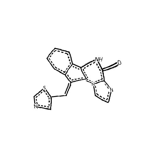 O=c1[nH]c2c3ccccc3c(=Cc3cncs3)c2n2ccnc12